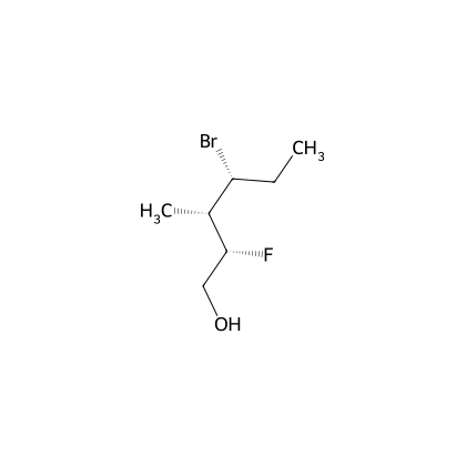 CC[C@@H](Br)[C@@H](C)[C@H](F)CO